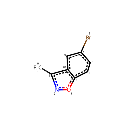 FC(F)(F)c1noc2ccc(Br)cc12